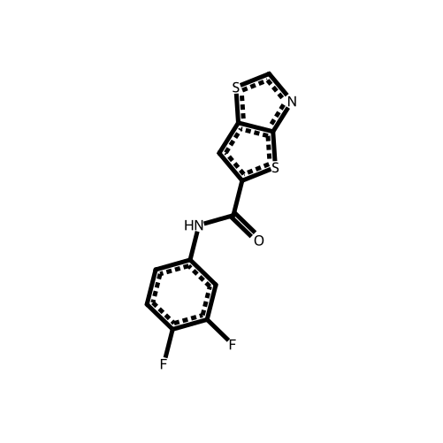 O=C(Nc1ccc(F)c(F)c1)c1cc2scnc2s1